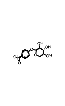 O=[N+]([O-])c1ccc(OC2OC[C@H](O)[C@@H](O)C2O)cc1